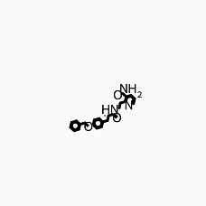 NC(=O)c1cccnc1CCNC(=O)[CH]Cc1ccc(OCc2ccccc2)cc1